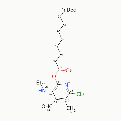 CCCCCCCCCCCCCCCCCC(=O)Oc1nc(Cl)c(C)c(C=O)c1NCC